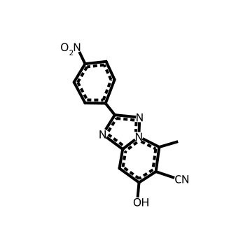 Cc1c(C#N)c(O)cc2nc(-c3ccc([N+](=O)[O-])cc3)nn12